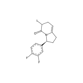 O=C1C(I)CC=C2CC[C@@H](c3ccc(F)c(F)c3)N12